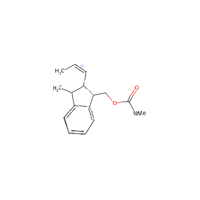 C/C=C\C1C(C)c2ccccc2C1COC(=O)NC